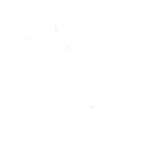 Cc1cc2c(cc1N1Cc3c(Cl)cncc3NC1=O)OC(c1ncccc1F)CC2